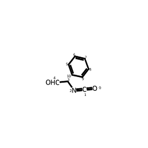 O=C=NCC=O.c1ccccc1